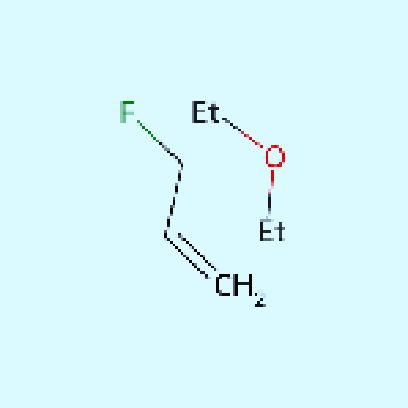 C=CCF.CCOCC